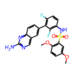 COc1ccc(OC)c(S(=O)(=O)Nc2ccc(F)c(-c3ccc4nc(N)ncc4c3)c2F)c1